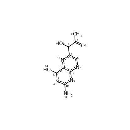 CC(=O)C(O)c1cnc2nc(N)nc(O)c2n1